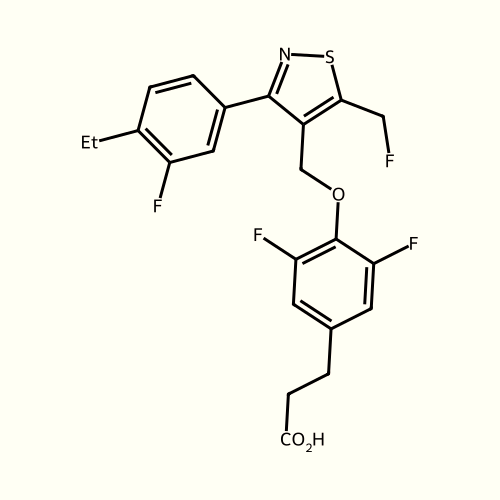 CCc1ccc(-c2nsc(CF)c2COc2c(F)cc(CCC(=O)O)cc2F)cc1F